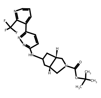 CC(C)(C)OC(=O)N1C[C@H]2CC(Nc3ccc(-c4cccnc4C(F)(F)F)nn3)C[C@H]2C1